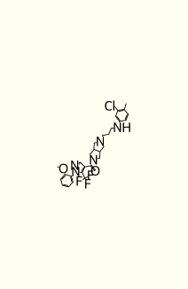 COc1ccccc1-n1ncc(C(=O)N2CC3CN(CCCNc4ccc(C)c(Cl)c4)CC3C2)c1C(F)(F)F